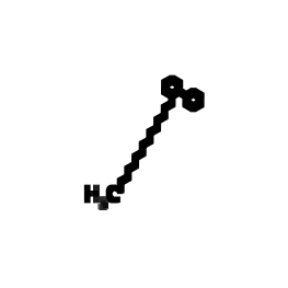 CCCCCCCCCCCCCCCCc1ccccc1-c1ccccc1